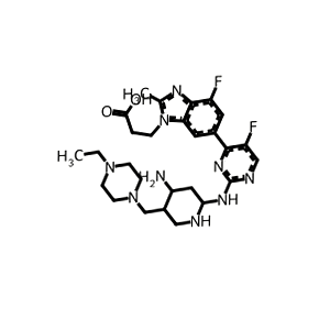 CCN1CCN(CC2CNC(Nc3ncc(F)c(-c4cc(F)c5nc(C)n(CCC(=O)O)c5c4)n3)CC2N)CC1